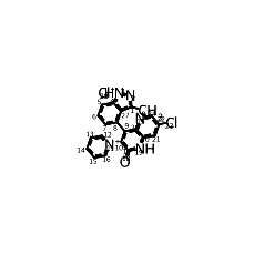 Cc1n[nH]c2cccc(-c3c(-[n+]4ccccc4)c(=O)[nH]c4cc(Cl)cnc34)c12.[Cl-]